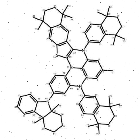 Cc1cc2c3c(c1)N(c1ccc4c(c1)C(C)(C)CCC4(C)C)c1c(sc4cc5c(cc14)C(C)(C)CCC5(C)C)B3c1ccc(N3c4ccccc4C4(C)CCCCC34C)cc1N2c1ccc2c(c1)C(C)(C)CCC2(C)C